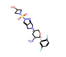 N[C@H]1C[C@@H](N2Cc3cn(S(=O)(=O)N4CC(O)C4)nc3C2)CO[C@@H]1c1cc(F)ccc1F